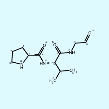 CC(C)[C@H](NC(=O)[C@@H]1CCCN1)C(=O)NCC=O